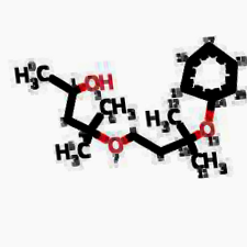 CC(O)CC(C)(C)OCCC(C)(C)Oc1ccccc1